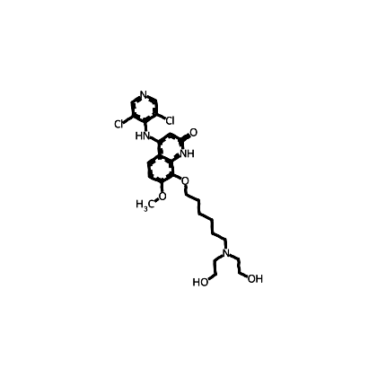 COc1ccc2c(Nc3c(Cl)cncc3Cl)cc(=O)[nH]c2c1OCCCCCCN(CCO)CCO